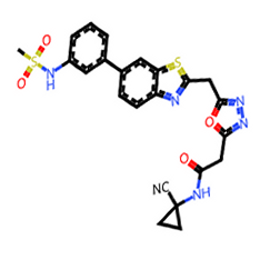 CS(=O)(=O)Nc1cccc(-c2ccc3nc(Cc4nnc(CC(=O)NC5(C#N)CC5)o4)sc3c2)c1